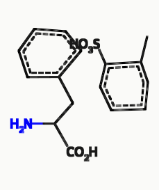 Cc1ccccc1S(=O)(=O)O.NC(Cc1ccccc1)C(=O)O